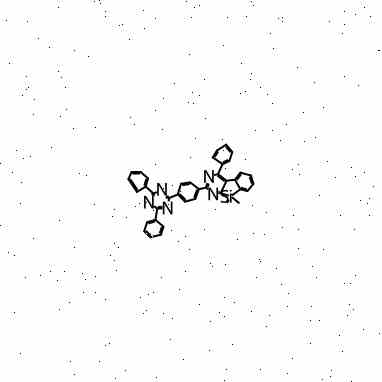 C[Si]1(C)c2ccccc2-c2c(-c3ccccc3)nc(-c3ccc(-c4nc(-c5ccccc5)nc(-c5ccccc5)n4)cc3)nc21